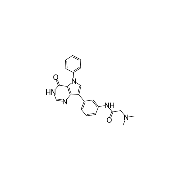 CN(C)CC(=O)Nc1cccc(-c2cn(-c3ccccc3)c3c(=O)[nH]cnc23)c1